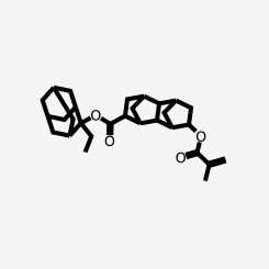 C=C(C)C(=O)OC1CC2CC1C1C3CC(CC3C(=O)OC3(CC)C4CC5CC(C4)CC3C5)C21